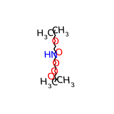 CC(C)CCOCCCC(=O)NCCOCCOCC(=O)C(C)C